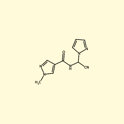 Cn1cc(C(=O)NC(C#N)n2cccn2)cn1